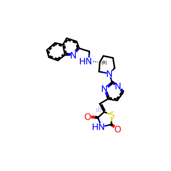 O=C1NC(=O)/C(=C/c2ccnc(N3CCC[C@@H](NCc4ccc5ccccc5n4)C3)n2)S1